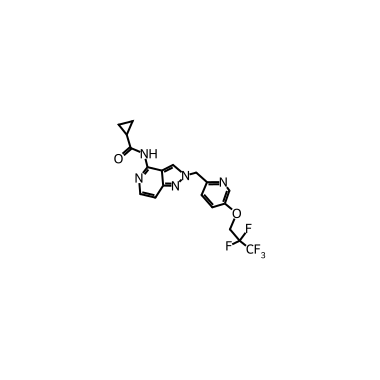 O=C(Nc1nccc2nn(Cc3ccc(OCC(F)(F)C(F)(F)F)cn3)cc12)C1CC1